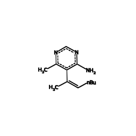 CCCC/C=C(/C)c1c(C)ncnc1N